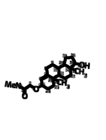 CNC(=O)CO[C@H]1C=C2CCC3C(CCC4(C)C(O)CCC34)C2(C)CC1